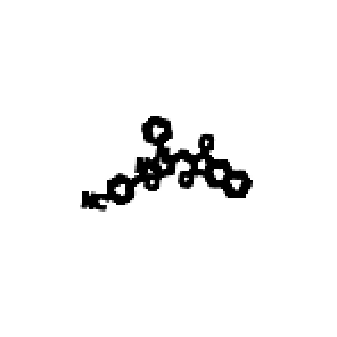 N#Cc1ccc(-c2nc3c(cc(C=C4C(=O)c5cc6ccccc6cc5C4=O)n3-c3ccccc3)o2)cc1